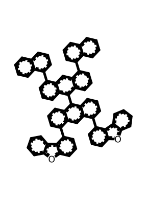 c1ccc2c(-c3cccc4c(-c5c6cccc(-c7cccc8oc9ccccc9c78)c6cc6c(-c7cccc8oc9ccccc9c78)cccc56)c5cccc(-c6cccc7ccccc67)c5cc34)cccc2c1